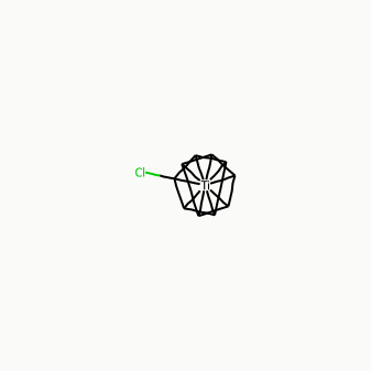 Cl[C]12[CH]3[CH]4[CH]5[CH]1[Ti]45321678[CH]2[CH]1[CH]6[CH]7[CH]28